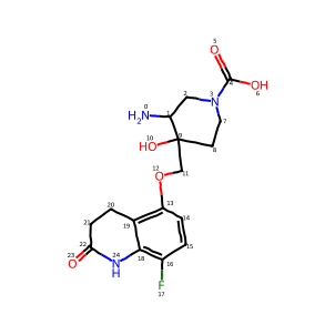 NC1CN(C(=O)O)CCC1(O)COc1ccc(F)c2c1CCC(=O)N2